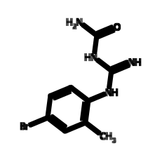 Cc1cc(Br)ccc1NC(=N)NC(N)=O